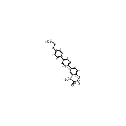 CCCCCCCCCCCCc1ccc(-c2cnc(-c3ccc(OC(C)C(=O)OCCCC)cc3)nc2)cc1